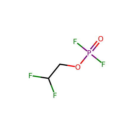 O=P(F)(F)OCC(F)F